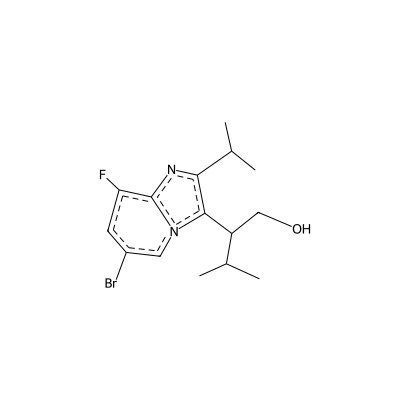 CC(C)c1nc2c(F)cc(Br)cn2c1C(CO)C(C)C